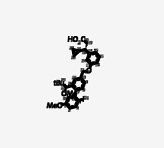 COc1ccc(F)c(-c2ccc(COc3cccc([C@@H](CC(=O)O)C4CC4)c3)cc2[C@@H](OC)C(C)(C)C)c1